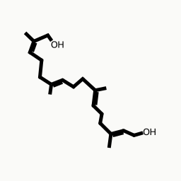 CC(=CCCC(C)=CCCC(C)=CCCC(C)=CCO)CO